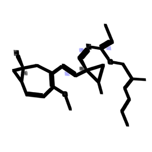 C/C=C(\N=C/[C@@]1(/C=C/C2=C(OC)C=CC3C[C@@H]3C2)CC1C)OCC(C)CCCC